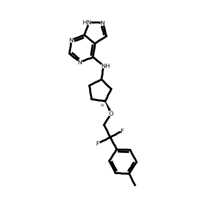 Cc1ccc(C(F)(F)CO[C@H]2CCC(Nc3ncnc4[nH]ncc34)C2)cc1